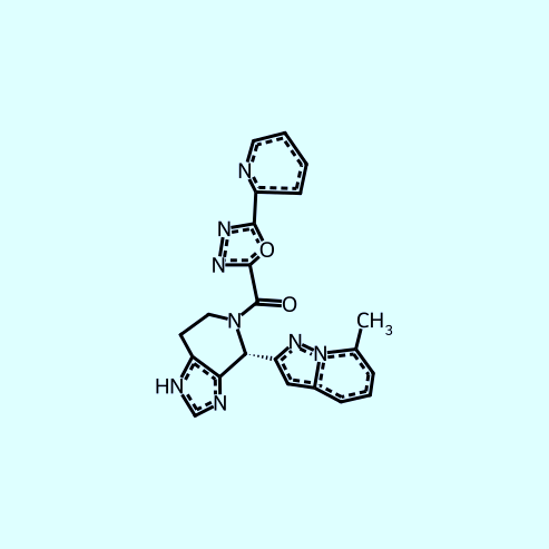 Cc1cccc2cc([C@@H]3c4nc[nH]c4CCN3C(=O)c3nnc(-c4ccccn4)o3)nn12